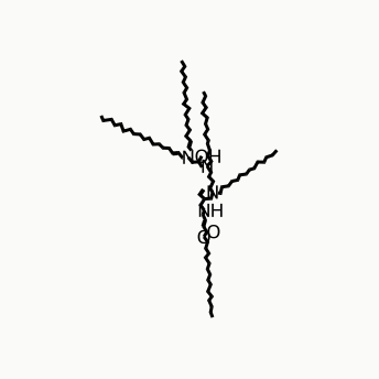 C=CC(CNC/C=C/C(=O)OCCCCCCCCCCCCCCC)CN(CCCCCCCCCCCCCC)CCCCN(CCCCCCCCCCCCCC)CC(O)CN(C/C=C/CCCCCCCCCCCCCCC)C/C=C/CCCCCCCCCCCCCCC